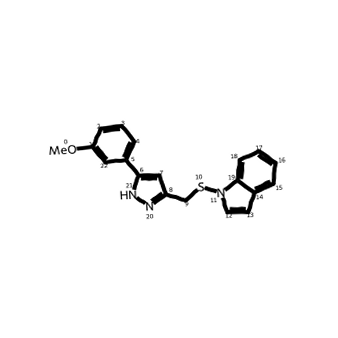 COc1cccc(-c2cc(CSn3ccc4ccccc43)n[nH]2)c1